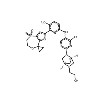 CCc1nc(N2C[C@H]3C[C@@H]2CN3CCO)ccc1Nc1ncc(C(F)(F)F)c(-c2cc3c(s2)C2(CC2)OCCS3(=O)=O)n1